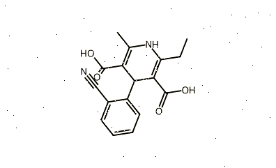 CCC1=C(C(=O)O)C(c2ccccc2C#N)C(C(=O)O)=C(C)N1